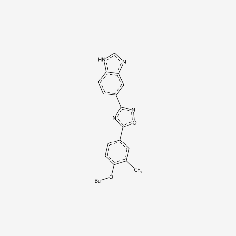 CCC(C)Oc1ccc(-c2nc(-c3ccc4[nH]cnc4c3)no2)cc1C(F)(F)F